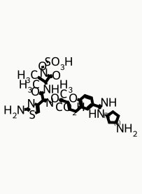 CC(ON=C(C(=O)NC1C(=O)N(OS(=O)(=O)O)C1(C)C)c1csc(N)n1)(C(=O)O)C1CCc2cc(C(=N)N[C@@H]3CC[C@H](N)C3)ccc2O1